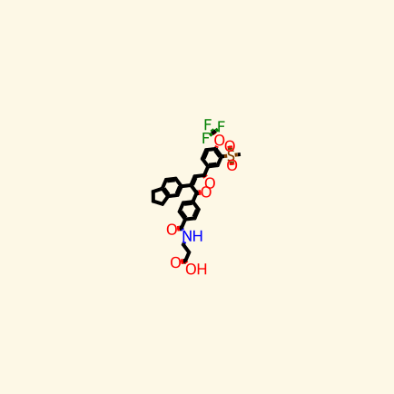 CS(=O)(=O)c1cc(C(=O)/C=C(\C(=O)c2ccc(C(=O)NCCC(=O)O)cc2)c2ccc3c(c2)CCC3)ccc1OC(F)(F)F